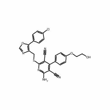 N#Cc1c(N)nc(SCc2ncoc2-c2ccc(Cl)cc2)c(C#N)c1-c1ccc(OCCO)cc1